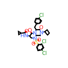 O=C(NC1CN(S(=O)(=O)c2ccc(Cl)cc2Cl)C2CN(C3CCC3)C(=O)C(Cc3ccc(Cl)cc3)N2C1=O)C1CC1